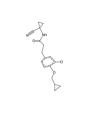 N#CC1(NC(=O)CCc2ccc(OCC3CC3)c(Cl)c2)CC1